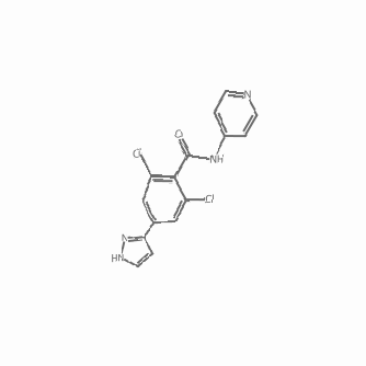 O=C(Nc1ccncc1)c1c(Cl)cc(-c2cc[nH]n2)cc1Cl